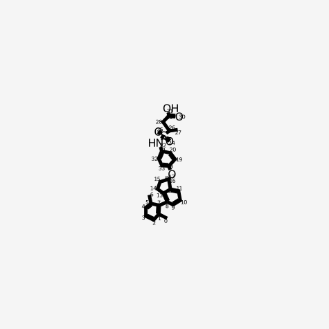 Cc1cccc(C)c1-c1cccc2c1CC[C@H]2Oc1ccc(NS(=O)(=O)C(C)CC(=O)O)cc1